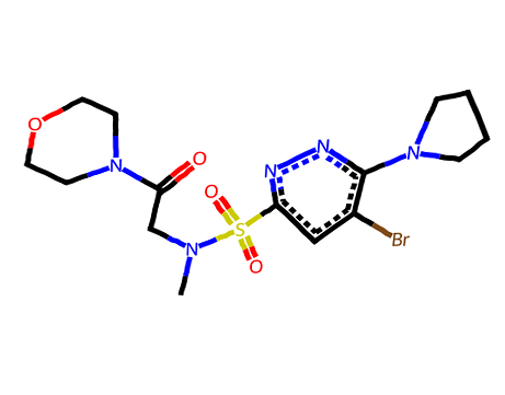 CN(CC(=O)N1CCOCC1)S(=O)(=O)c1cc(Br)c(N2CCCC2)nn1